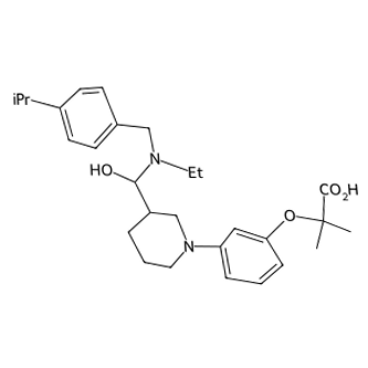 CCN(Cc1ccc(C(C)C)cc1)C(O)C1CCCN(c2cccc(OC(C)(C)C(=O)O)c2)C1